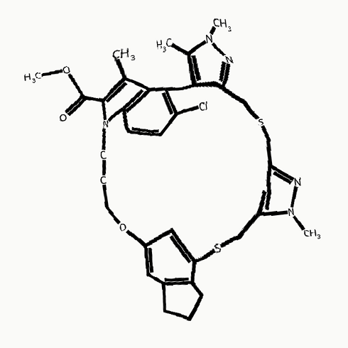 COC(=O)c1c(C)c2c3c(Cl)ccc2n1CCCOc1cc2c(c(c1)SCc1cc(nn1C)CSCc1nn(C)c(C)c1-3)CCC2